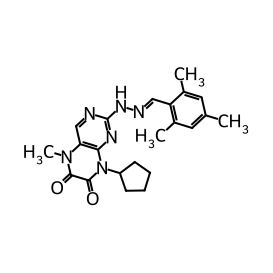 Cc1cc(C)c(C=NNc2ncc3c(n2)n(C2CCCC2)c(=O)c(=O)n3C)c(C)c1